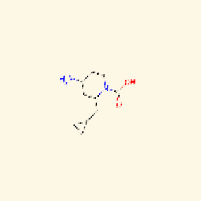 NC1CCN(C(=O)O)C(CC2CC2)C1